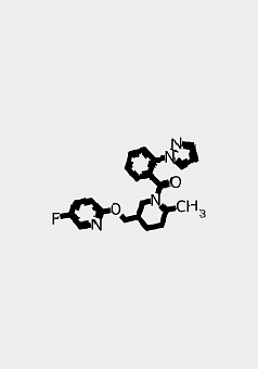 CC1CCC(COc2ccc(F)cn2)CN1C(=O)c1ccccc1-n1cccn1